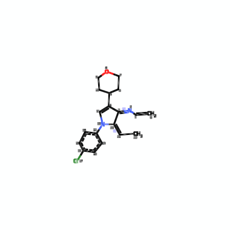 C=C/N=C1/C(C2CCOCC2)=CN(c2ccc(Cl)cc2)/C1=C/C